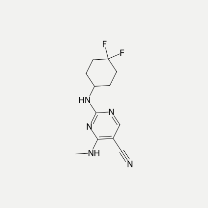 CNc1nc(NC2CCC(F)(F)CC2)ncc1C#N